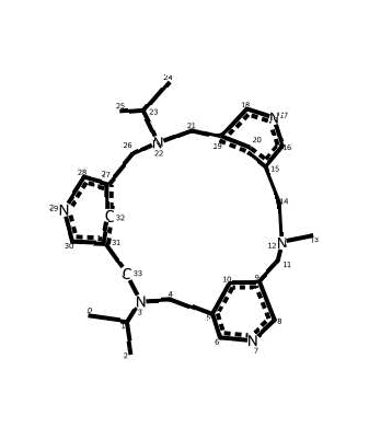 CC(C)N1Cc2cncc(c2)CN(C)Cc2cncc(c2)CN(C(C)C)Cc2cncc(c2)C1